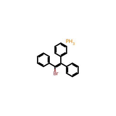 BrC(=C(c1ccccc1)c1ccccc1)c1ccccc1.P